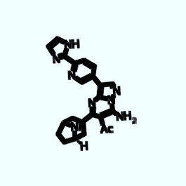 CC(=O)c1c(C2CC3CC[C@H](C2)N3)nc2c(-c3ccc(-c4ncc[nH]4)nc3)cnn2c1N